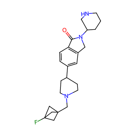 O=C1c2ccc(C3CCN(CC45CC(F)(C4)C5)CC3)cc2CN1C1CCCNC1